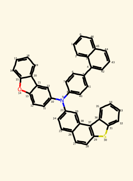 c1ccc2c(-c3ccc(N(c4ccc5oc6ccccc6c5c4)c4ccc5ccc6sc7ccccc7c6c5c4)cc3)cccc2c1